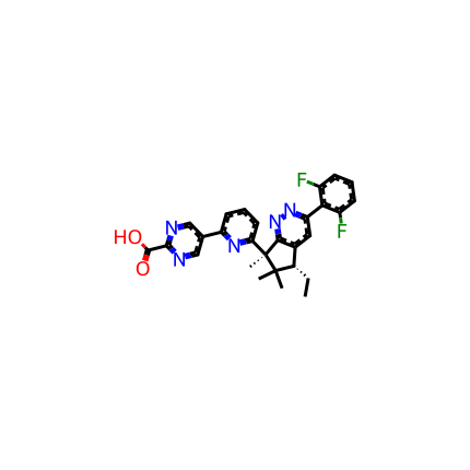 CC[C@H]1c2cc(-c3c(F)cccc3F)nnc2[C@](C)(c2cccc(-c3cnc(C(=O)O)nc3)n2)C1(C)C